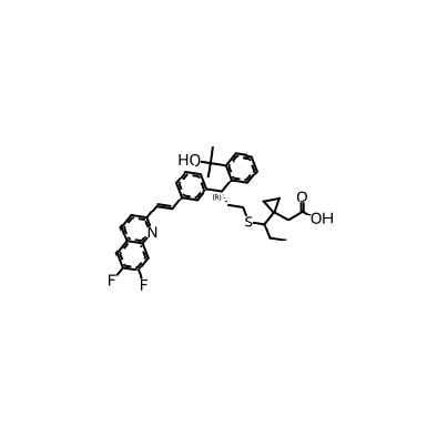 CCC(SCC[C@H](c1cccc(C=Cc2ccc3cc(F)c(F)cc3n2)c1)c1ccccc1C(C)(C)O)C1(CC(=O)O)CC1